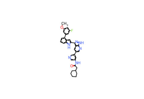 COc1cc(F)cc(-c2cccc3[nH]c(-c4n[nH]c5ncc(-c6cncc(NC(=O)CC7CCCCC7)c6)cc45)cc23)c1